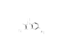 CC1=C(C#N)Sc2cc(SC(F)(F)F)ccc2N1